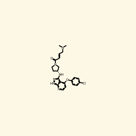 CN(C)CC=CC(=O)N1CC[C@@H](Nc2n[nH]c3nccc(Oc4ccc(Cl)cc4)c23)C1